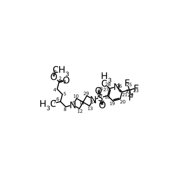 COC(=O)CCC(C)CN1CC2(C1)CN(S(=O)(=O)c1ccc(C(F)(F)F)nc1C)C2